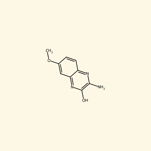 COc1ccc2nc(N)c(O)nc2c1